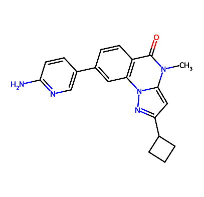 Cn1c(=O)c2ccc(-c3ccc(N)nc3)cc2n2nc(C3CCC3)cc12